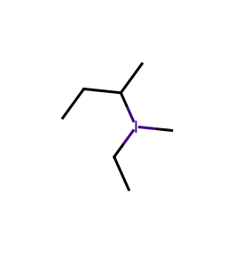 CCC(C)I(C)CC